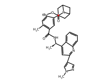 Cc1ccc(N2CC3CC(C2)N3C(=O)OC(C)(C)C)cc1C(=O)N[C@H](C)c1cc(-c2cnn(C)c2)nc2ccccc12